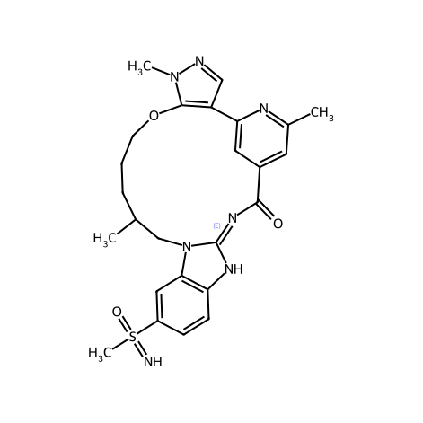 Cc1cc2cc(n1)-c1cnn(C)c1OCCCC(C)CN1/C(=N/C2=O)Nc2ccc(S(C)(=N)=O)cc21